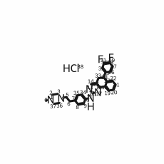 CN1CCN(CCc2ccc(Nc3ncc4c(n3)-c3ccccc3C(c3ccc(F)c(F)c3)C4)cc2)CC1.Cl